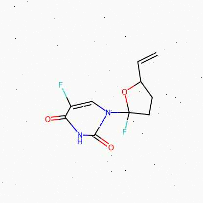 C=CC1CCC(F)(n2cc(F)c(=O)[nH]c2=O)O1